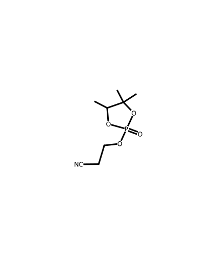 CC1OP(=O)(OCCC#N)OC1(C)C